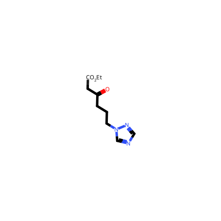 CCOC(=O)CC(=O)CCCn1cncn1